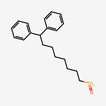 O=[PH2]CCCCCCCC(c1ccccc1)c1ccccc1